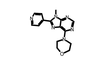 Cn1c(-c2ccncc2)nc2c(N3CCOCC3)ncnc21